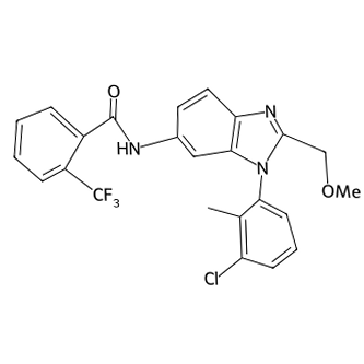 COCc1nc2ccc(NC(=O)c3ccccc3C(F)(F)F)cc2n1-c1cccc(Cl)c1C